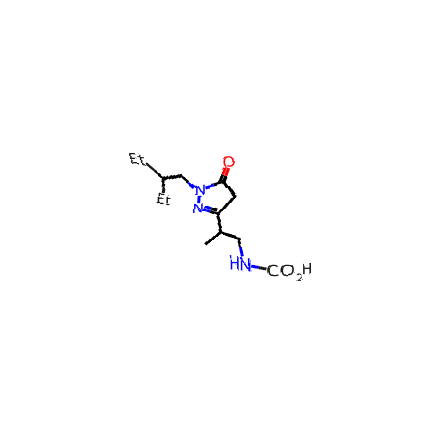 CCC(CC)CN1N=C(C(C)CNC(=O)O)CC1=O